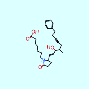 CC(CC#CCCc1ccccc1)C(O)/C=C/[C@H]1CCC(=O)N1CCCCCCC(=O)O